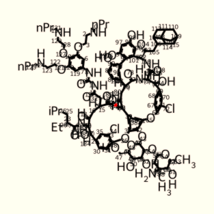 CCCNCCOc1cc(NC(=O)NC(=O)C[C@@H]2CC(=O)[C@H](NC(=O)[C@H](CC)CC(C)C)[C@H](O)c3ccc(c(Cl)c3)Oc3cc4cc(c3O[C@@H]3O[C@H](CO)[C@@H](O)[C@H](O)[C@H]3O[C@H]3C[C@](C)(N)[C@H](O)[C@H](C)O3)Oc3ccc(cc3Cl)[C@@H](O)[C@@H]3NC(=O)[C@H](CC(=O)[C@@H]4NC2=O)c2ccc(O)c(c2)-c2c(O)cc(O)cc2[C@@H](C(=O)CC2C4CC5CC(C4)CC2C5)NC3=O)cc(OCCNCCC)c1OCCNCCC